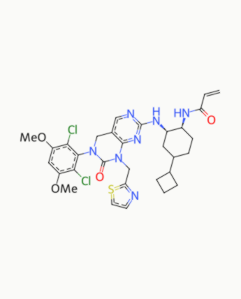 C=CC(=O)N[C@H]1CCC(C2CCC2)C[C@H]1Nc1ncc2c(n1)N(Cc1nccs1)C(=O)N(c1c(Cl)c(OC)cc(OC)c1Cl)C2